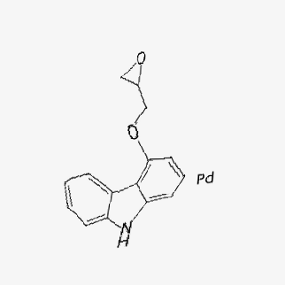 [Pd].c1ccc2c(c1)[nH]c1cccc(OCC3CO3)c12